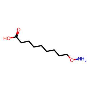 NOCCCCCCCCC(=O)O